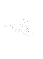 CC1(Oc2ncnc3c2nc(-c2ccc(O)cc2Cl)n3Cc2ccccc2)CC1